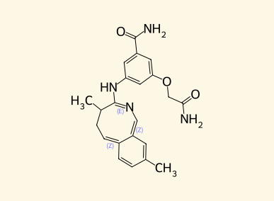 Cc1ccc2/c(c1)=C\N=C(\Nc1cc(OCC(N)=O)cc(C(N)=O)c1)C(C)C\C=2